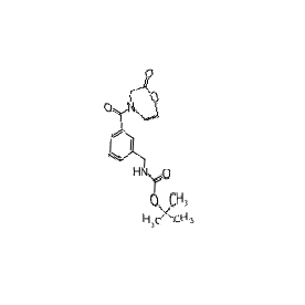 CC(C)(C)OC(=O)NCc1cccc(C(=O)N2CCOC(=O)C2)c1